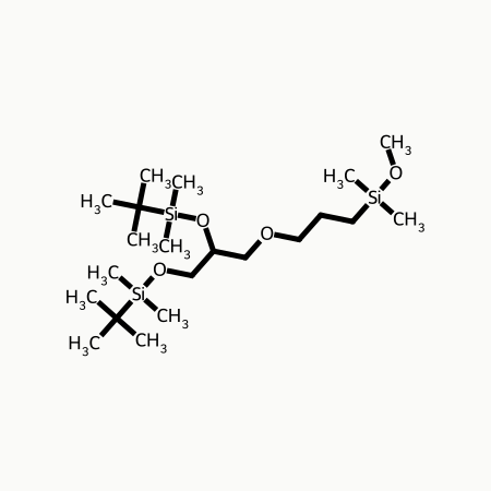 CO[Si](C)(C)CCCOCC(CO[Si](C)(C)C(C)(C)C)O[Si](C)(C)C(C)(C)C